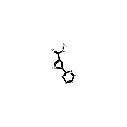 COC(=O)c1c[nH]c(-c2ncccn2)c1